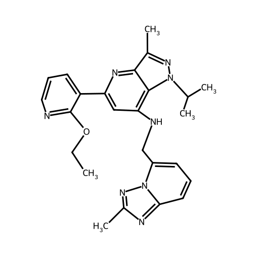 CCOc1ncccc1-c1cc(NCc2cccc3nc(C)nn23)c2c(n1)c(C)nn2C(C)C